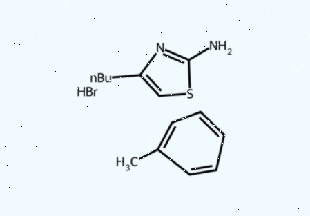 Br.CCCCc1csc(N)n1.Cc1ccccc1